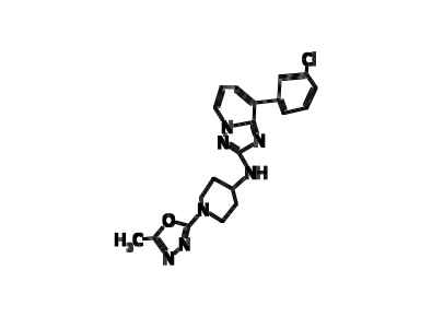 Cc1nnc(N2CCC(Nc3nc4c(-c5cccc(Cl)c5)cccn4n3)CC2)o1